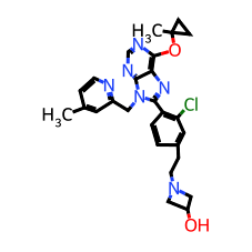 Cc1ccnc(Cn2c(-c3ccc(CCN4CC(O)C4)cc3Cl)nc3c(OC4(C)CC4)ncnc32)c1